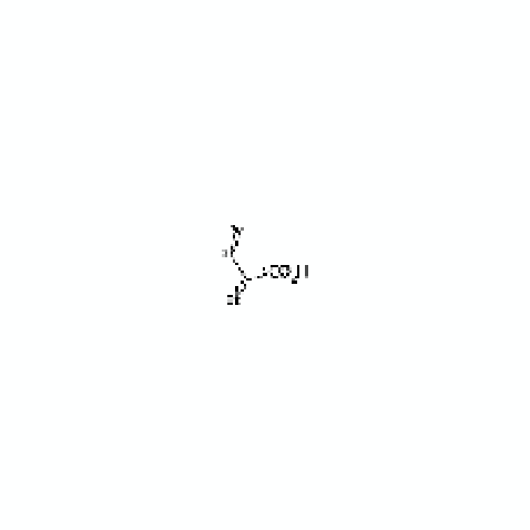 C=CC(CC)C(=O)O